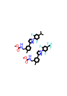 COC(=O)NCc1cc(-c2ccn(-c3c(F)cc(C(C)C)cc3F)n2)ccc1C.COC(=O)NCc1cc(-c2ccn(-c3c(F)cc(C(F)(F)F)cc3F)n2)ccc1C